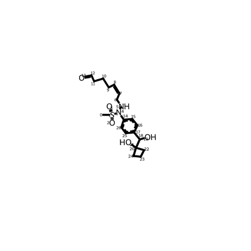 CS(=O)(=O)N(NC/C=C\CCCC=O)c1ccc(C(O)C2(O)CCC2)cc1